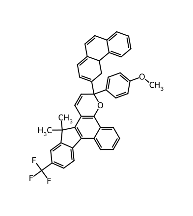 COc1ccc(C2(C3=CC=C4C=Cc5ccccc5C4C3)C=Cc3c4c(c5ccccc5c3O2)-c2ccc(C(F)(F)F)cc2C4(C)C)cc1